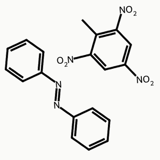 Cc1c([N+](=O)[O-])cc([N+](=O)[O-])cc1[N+](=O)[O-].c1ccc(/N=N/c2ccccc2)cc1